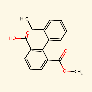 CCc1ccccc1-c1c(C(=O)O)cccc1C(=O)OC